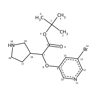 CC(C)(C)OC(=O)C(Oc1cncc(Br)c1)C1CCNC1